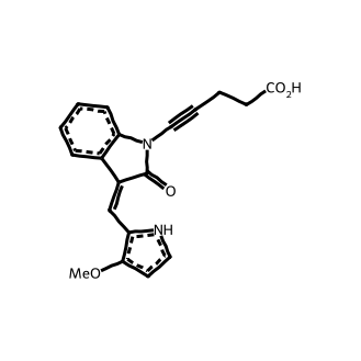 COc1cc[nH]c1C=C1C(=O)N(C#CCCC(=O)O)c2ccccc21